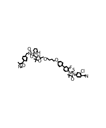 Cc1ncoc1-c1ccc(CNC(=O)[C@@H]2CCCN2C(=O)C(NC(=O)COCCCCOc2ccc(-c3ccc(N4C(=S)N(c5ccc(C#N)c(Cl)c5)C(=O)C4(C)C)c(F)c3)cc2)C(C)(C)C)cc1